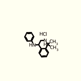 CC1(C)NCC(Nc2ccccc2)c2ccccc21.Cl